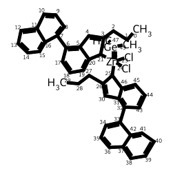 CCCC1=Cc2c(-c3cccc4ccccc34)cccc2[CH]1[Zr]([Cl])([Cl])([CH]1C(CCC)=Cc2c(-c3cccc4ccccc34)cccc21)=[Ge]([CH3])[CH3]